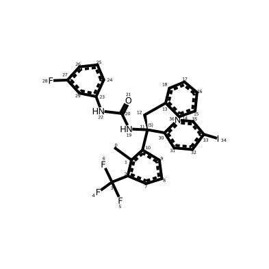 Cc1c(C(F)(F)F)cccc1[C@](Cc1ccccc1)(NC(=O)Nc1cccc(F)c1)c1ccc(I)cn1